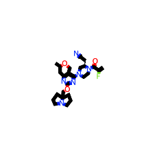 C=C(F)C(=O)N1CCN(c2nc(OCC34CCCN3CCC4)nc3c2COC(C)C3)C[C@@H]1CC#N